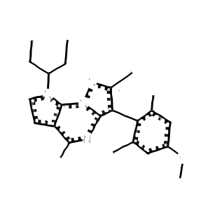 CCC(CC)n1ccc2c(C)nc3c(-c4c(C)cc(OC)cc4C)c(C)nn3c21